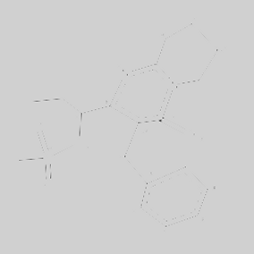 CCC(OS(C)(=O)=O)c1nc2n(c(=O)c1Cc1ccccc1)CCCC2